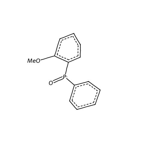 COc1ccccc1[P](=O)c1ccccc1